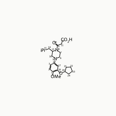 COc1ccc(N2CCN(C(=O)CC(=O)O)C(CC(C)C)C2)cc1OC1CCCC1